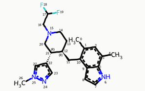 Cc1cc(C)c2[nH]ccc2c1C[C@@H]1CCN(CC(F)F)C[C@H]1c1cnn(C)c1